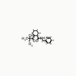 CC(C)(C)C(=O)C1CCCCC1C(=O)NCc1ccccn1